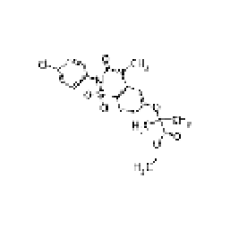 CCOC(=O)C(C)(C)Oc1ccc2c(c1)N(C)C(=O)N(c1ccc(Cl)cc1)S2(=O)=O